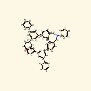 c1ccc(-c2cc(-c3ccccc3)cc(-c3ccc4c(c3)-c3cc(-c5cc(-c6ccccc6)cc(-c6ccccc6)c5)ccc3CN(c3ccccc3)C4)c2)cc1